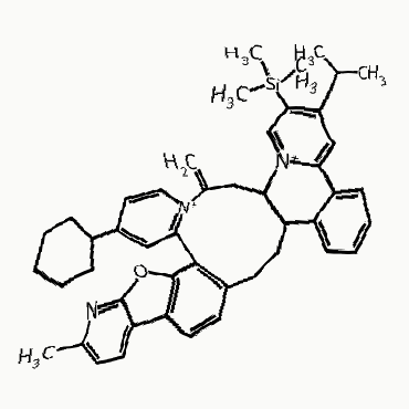 C=C1CC2C(CCc3ccc4c(oc5nc(C)ccc54)c3-c3cc(C4CCCCC4)cc[n+]31)c1ccccc1-c1cc(C(C)C)c([Si](C)(C)C)c[n+]12